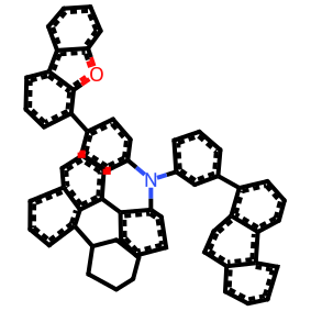 c1cc(-c2cccc3c2ccc2ccccc23)cc(N(c2ccc(-c3cccc4c3oc3ccccc34)cc2)c2ccccc2-c2cccc3cccc(C4CCCCC4)c23)c1